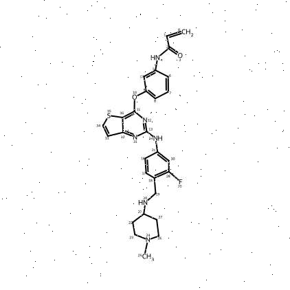 C=CC(=O)Nc1cccc(Oc2nc(Nc3ccc(CNC4CCN(C)CC4)c(F)c3)nc3ccsc23)c1